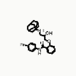 O=C(Nc1ccc(Br)cc1)c1ccccc1OCC(O)CNC12CC3CC(CC(C3)C1)C2